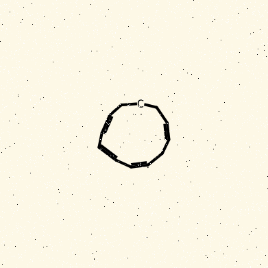 [C]1=CC=CC=CCCCC=CC1